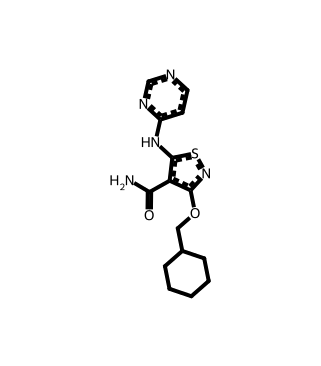 NC(=O)c1c(OCC2CCCCC2)nsc1Nc1ccncn1